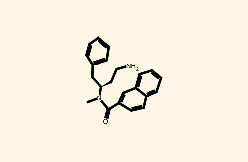 CN(C(=O)c1ccc2ccccc2c1)[C@H](CCN)Cc1ccccc1